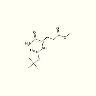 COC(=O)CC[C@@H](NC(=O)OC(C)(C)C)C(N)=O